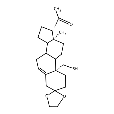 CC(=O)[C@H]1CCC2C3CC=C4CC5(CC[C@]4(CS)C3CC[C@@]21C)OCCO5